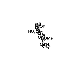 COC(=O)NC(CCC=CC(=O)N(C)C)C(=O)Nc1cccn(Cc2nc3c(Oc4ccc(F)cc4F)c(C(C)(C)C)ccc3n2C(=O)O)c1=O